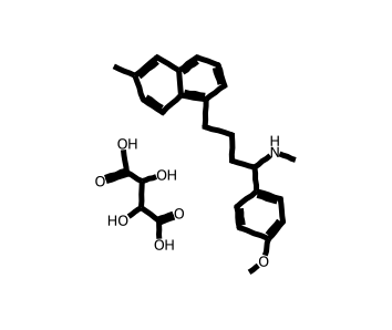 CNC(CCCc1cccc2cc(C)ccc12)c1ccc(OC)cc1.O=C(O)C(O)C(O)C(=O)O